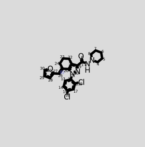 O=C(NN1CCCCC1)c1nn(-c2ccc(Cl)cc2Cl)c2c1CCC/C2=C\c1ccco1